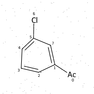 CC(=O)c1[c]ccc(Cl)c1